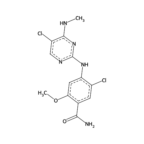 CNc1nc(Nc2cc(OC)c(C(N)=O)cc2Cl)ncc1Cl